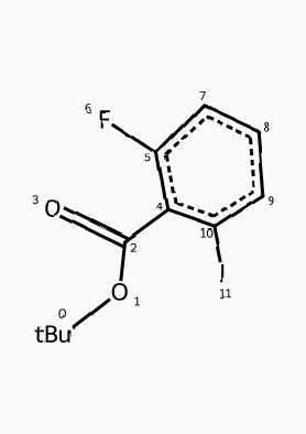 CC(C)(C)OC(=O)c1c(F)cccc1I